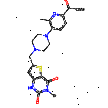 CCn1c(=O)[nH]c2cc(CN3CCN(c4ccc(C(=O)OC)nc4C)CC3)sc2c1=O